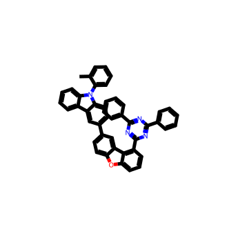 Cc1ccccc1-n1c2ccccc2c2cc(-c3ccc4oc5cccc(-c6nc(-c7ccccc7)nc(-c7ccccc7)n6)c5c4c3)ccc21